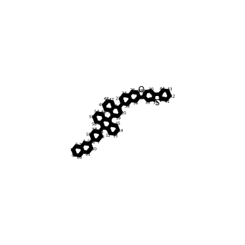 c1ccc2cc(-c3ccc(-c4c5ccccc5c(-c5ccc(-c6ccc7cc8oc9cc%10c(cc9c8cc7c6)sc6ccccc6%10)c6ccccc56)c5ccccc45)cc3)ccc2c1